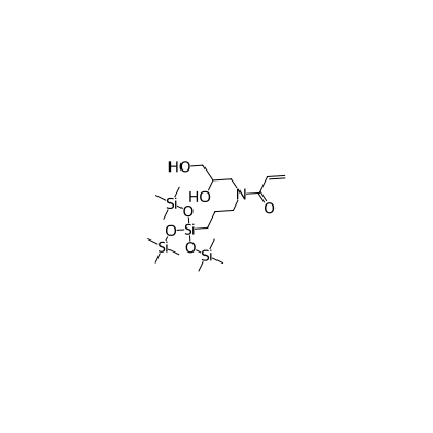 C=CC(=O)N(CCC[Si](O[Si](C)(C)C)(O[Si](C)(C)C)O[Si](C)(C)C)CC(O)CO